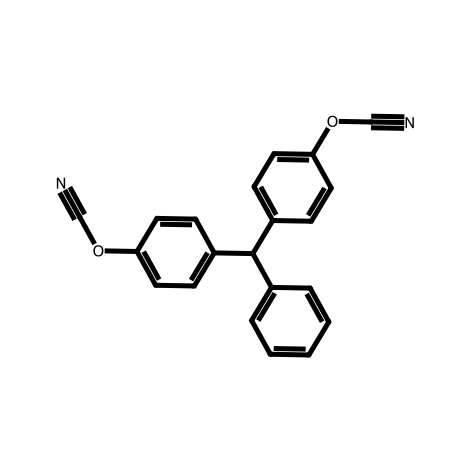 N#COc1ccc(C(c2ccccc2)c2ccc(OC#N)cc2)cc1